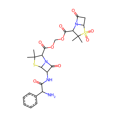 CC1(C)SC2C(NC(=O)C(N)c3ccccc3)C(=O)N2C1C(=O)OCOC(=O)C1N2C(=O)CC2S(=O)(=O)C1(C)C